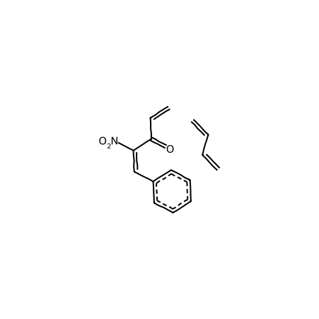 C=CC(=O)C(=Cc1ccccc1)[N+](=O)[O-].C=CC=C